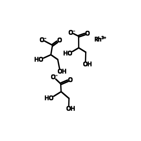 O=C([O-])C(O)CO.O=C([O-])C(O)CO.O=C([O-])C(O)CO.[Rh+3]